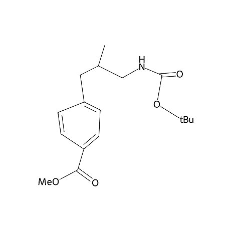 COC(=O)c1ccc(CC(C)CNC(=O)OC(C)(C)C)cc1